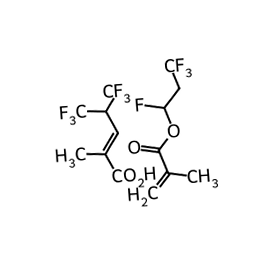 C=C(C)C(=O)OC(F)CC(F)(F)F.CC(=CC(C(F)(F)F)C(F)(F)F)C(=O)O